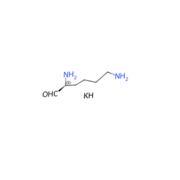 NCCCC[C@H](N)C=O.[KH]